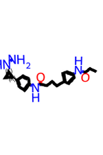 CCC(=O)Nc1ccc(CCCC(=O)Nc2ccc([C@H]3C[C@@H]3NN)cc2)cc1